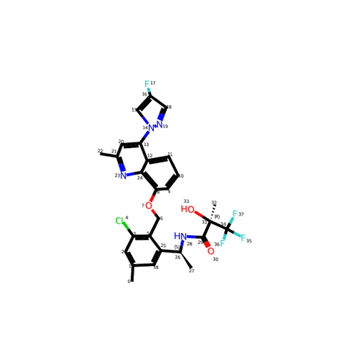 Cc1cc(Cl)c(COc2cccc3c(-n4cc(F)cn4)cc(C)nc23)c([C@H](C)NC(=O)[C@@](C)(O)C(F)(F)F)c1